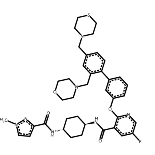 Cn1ccc(C(=O)N[C@H]2CC[C@H](NC(=O)c3cc(F)cnc3Oc3cccc(-c4ccc(CN5CCSCC5)cc4CN4CCOCC4)c3)CC2)n1